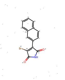 O=C1NC(=O)C(c2ccc3ccccc3c2)=C1Br